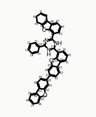 C1=Cc2c(oc3c(C4=NC(c5ccccc5)NC(c5cccc6c5oc5cc(-c7ccc8c(c7)oc7ccccc78)ccc56)N4)cccc23)CC1